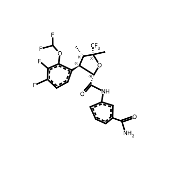 C[C@H]1[C@H](c2ccc(F)c(F)c2OC(F)F)[C@@H](C(=O)Nc2cccc(C(N)=O)c2)O[C@@]1(C)C(F)(F)F